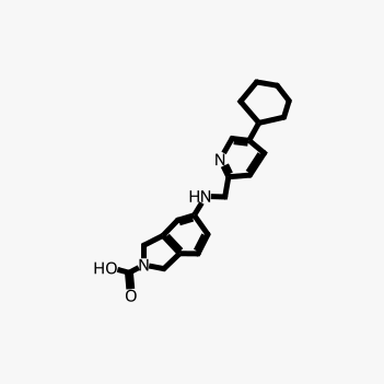 O=C(O)N1Cc2ccc(NCc3ccc(C4CCCCC4)cn3)cc2C1